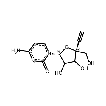 C#C[C@]1(CO)O[C@@H](n2ccc(N)nc2=O)C(O)C1O